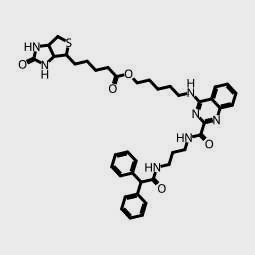 O=C1NC2CSC(CCCCC(=O)OCCCCCNc3nc(C(=O)NCCCNC(=O)C(c4ccccc4)c4ccccc4)nc4ccccc34)C2N1